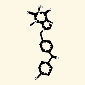 CCCCn1c(=O)c2ncn(Cc3ccc(C(=O)c4ccc(Cl)cc4)cc3)c2n(C)c1=O